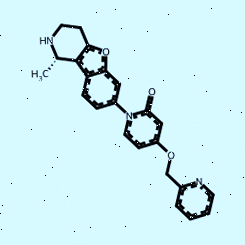 C[C@@H]1NCCc2oc3cc(-n4ccc(OCc5ccccn5)cc4=O)ccc3c21